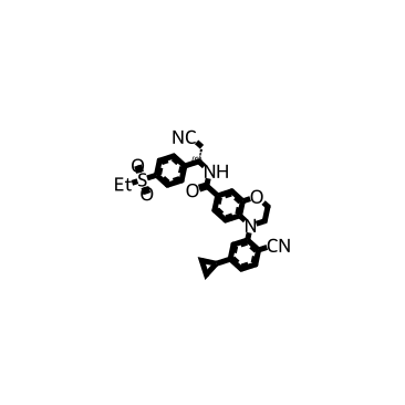 CCS(=O)(=O)c1ccc([C@H](CC#N)NC(=O)c2ccc3c(c2)OCCN3c2cc(C3CC3)ccc2C#N)cc1